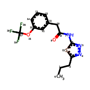 CCCc1nnc(NC(=O)Cc2cccc(OC(F)(F)F)c2)s1